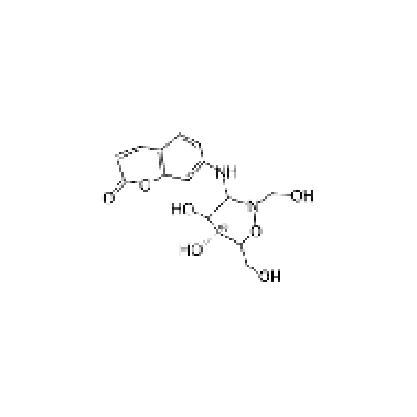 O=c1ccc2ccc(NC3C(O)[C@@H](O)C(CO)ON3CO)cc2o1